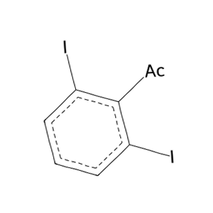 CC(=O)c1c(I)cccc1I